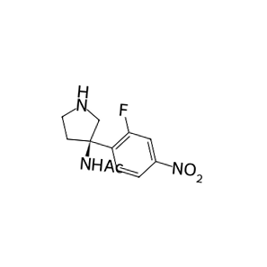 CC(=O)N[C@@]1(c2ccc([N+](=O)[O-])cc2F)CCNC1